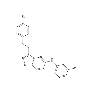 CCc1ccc(SCc2nnc3ccc(Nc4cccc(Cl)c4)nn23)cc1